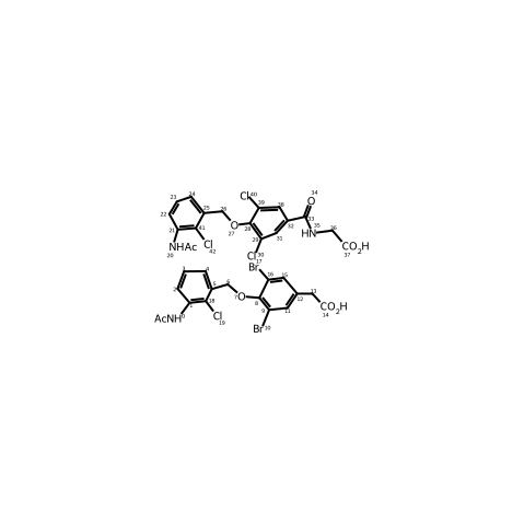 CC(=O)Nc1cccc(COc2c(Br)cc(CC(=O)O)cc2Br)c1Cl.CC(=O)Nc1cccc(COc2c(Cl)cc(C(=O)NCC(=O)O)cc2Cl)c1Cl